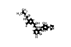 Cc1cc(-n2ccnc2)cc2[nH]c(-c3c(NCC(O)c4ccc(NC(=O)OCC(C)C)c(CI)c4)cc[nH]c3=O)nc12